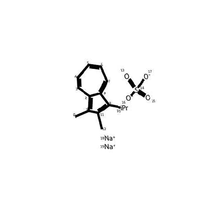 Cc1c2cccccc-2c(C(C)C)c1C.O=S(=O)([O-])[O-].[Na+].[Na+]